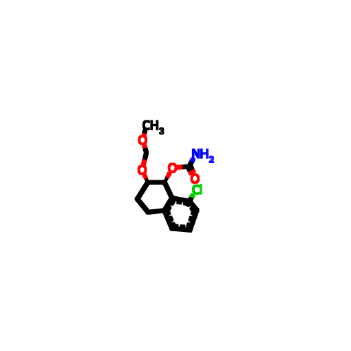 COCO[C@@H]1CCc2cccc(Cl)c2[C@@H]1OC(N)=O